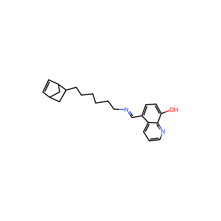 Oc1ccc(/C=N/CCCCCCC2CC3C=CC2C3)c2cccnc12